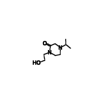 CC(C)N1CCN(CCO)C(=O)C1